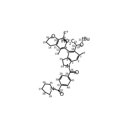 Cc1cc2c(c(-c3cc(F)c4c(c3C)CCCO4)c1[C@H](OC(C)(C)C)C(=O)O)CCN2C(=O)c1ccc(C(=O)N2CCCCC2)cc1